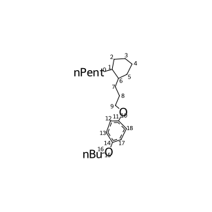 CCCCCC1CCCCC1CCCOc1ccc(OCCCC)cc1